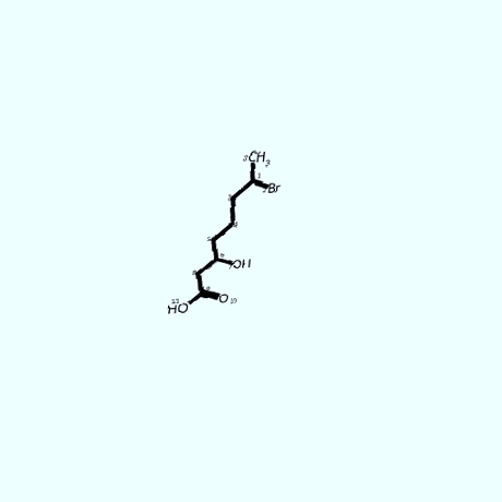 CC(Br)CCCC(O)CC(=O)O